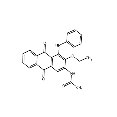 CCOc1c(NC(C)=O)cc2c(c1Nc1ccccc1)C(=O)c1ccccc1C2=O